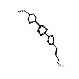 CCCCCCCCC1CCC(c2ccc(-c3ccc(CCCCC(F)(F)F)cc3)cc2)CC1